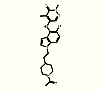 CC(=O)N1CCC(CCn2ccc3c(Nc4cnn(C)c(=O)c4C)c(Cl)ccc32)CC1